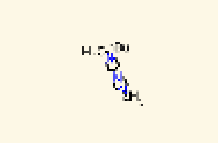 CCCCC(C)N1CCC(N2CCN(C)CC2)CC1